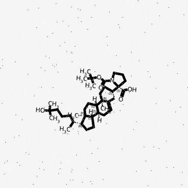 CC(CCCC(C)(C)O)[C@H]1CC[C@H]2[C@@H]3CC=C4C[C@@H]([C@]5(C(=O)O)CCCN5C(=O)OC(C)(C)C)CC[C@]4(C)[C@H]3CC[C@]12C